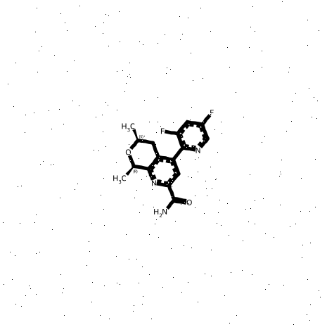 C[C@H]1Cc2c(-c3ncc(F)cc3F)cc(C(N)=O)nc2[C@@H](C)O1